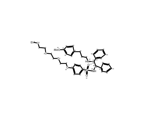 CCOCCOCCOCCOc1ccc(S(=O)(=O)N[C@H](c2ccccc2)[C@@H](NCCCc2ccc(OC)cc2)c2ccccc2)cc1